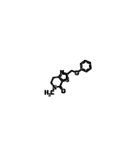 CN1CCc2nc(COc3ccccc3)sc2C1=O